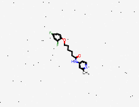 Cc1cc(NC(=O)CCCCCOc2ccc(F)cc2F)ccn1